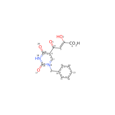 O=C(O)/C(O)=C/C(=O)c1cn(Cc2ccccc2)c(=O)[nH]c1=O